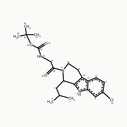 CC(C)CC1c2[nH]c3cc(Cl)ccc3c2CCN1C(=O)CNC(=O)OC(C)(C)C